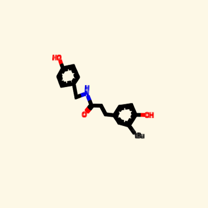 CC(C)(C)c1cc(CCC(=O)NCc2ccc(O)cc2)ccc1O